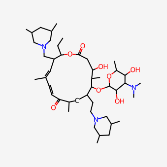 CCC1OC(=O)CC(O)C(C)C(OC2OC(C)C(O)C(N(C)C)C2O)C(CCN2CC(C)CC(C)C2)CC(C)C(=O)/C=C/C(C)=C/C1CN1CC(C)CC(C)C1